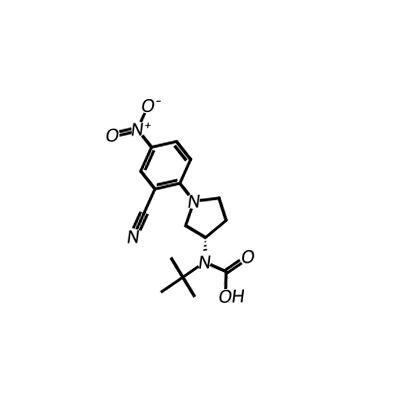 CC(C)(C)N(C(=O)O)[C@H]1CCN(c2ccc([N+](=O)[O-])cc2C#N)C1